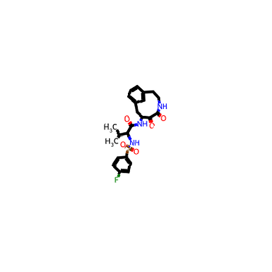 CC(C)C(NS(=O)(=O)c1ccc(F)cc1)C(=O)NC1Cc2cccc(c2)CCNC(=O)C1=O